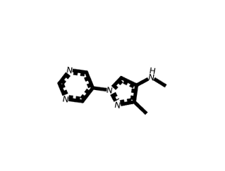 CNc1cn(-c2cncnc2)nc1C